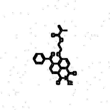 C=C(C)C(=O)OCCOc1ccc2c3c(ccc(C(=O)c4ccccc4)c13)C(=O)N(CC)C2=O